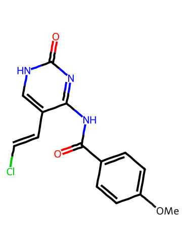 COc1ccc(C(=O)Nc2nc(=O)[nH]cc2C=CCl)cc1